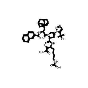 CC(C)(O)c1cnnn1[C@H]1C[C@@H](C(=O)NC(CCCCNC(=O)O)C(=O)C(N)=O)N(C(=O)C(CC23CC4CC(CC(C4)C2)C3)NC(=O)c2ccc3ccccc3c2)C1